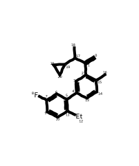 C=C(c1cc(-c2cc(F)ccc2CC)ccc1C)C(C)C1CC1